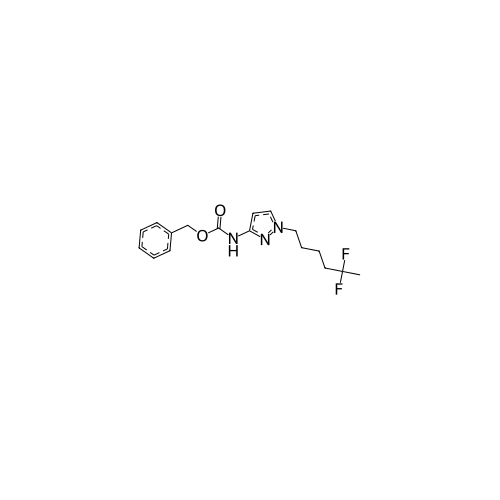 CC(F)(F)CCCCn1ccc(NC(=O)OCc2ccccc2)n1